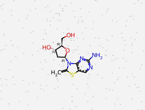 C=C1Sc2cnc(N)nc2N1[C@H]1C[C@H](O)[C@@H](CO)O1